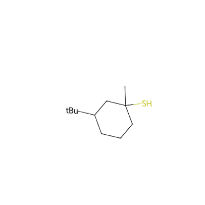 CC1(S)CCCC(C(C)(C)C)C1